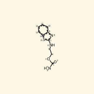 NC(=O)OCCNc1nc2ccccc2s1